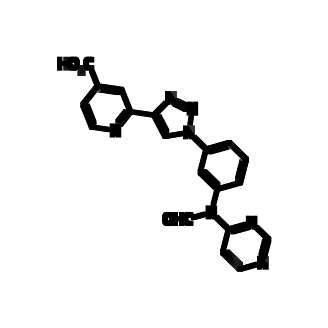 O=CN(c1cccc(-n2cc(-c3cc(C(=O)O)ccn3)nn2)c1)c1ccncn1